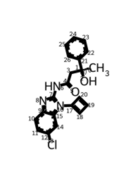 C[C@@](O)(CC(=O)Nc1nc2ccc(Cl)cc2n1C1=CC=C1)c1ccccc1